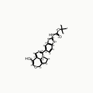 CC(C)(C)OC(=O)Nc1nc2ccc(C3=NC=C4C(O)=COCC5=C4N3CC5)cc2s1